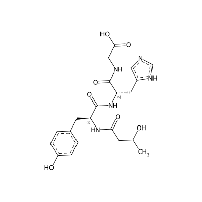 CC(O)CC(=O)N[C@@H](Cc1ccc(O)cc1)C(=O)N[C@@H](Cc1cnc[nH]1)C(=O)NCC(=O)O